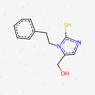 OCc1cnc(S)n1CCc1ccccc1